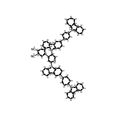 N#Cc1ccc(-c2cc(-n3c4ccccc4c4cc(-c5ccc(-n6c7ccccc7c7ccccc76)cc5)ccc43)ncc2-n2c3ccccc3c3cc(-c4ccc(-n5c6ccccc6c6ccccc65)cc4)ccc32)cc1C#N